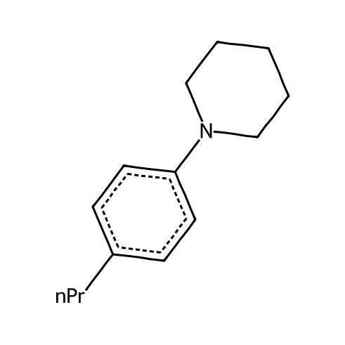 CCCc1ccc(N2CCCCC2)cc1